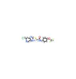 O=C(CSc1nc2cc(Cl)ncc2[nH]1)Nc1ccc(OC(F)F)cc1